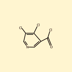 O=C(Cl)c1cncc(Cl)c1Cl